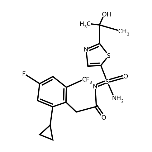 CC(C)(O)c1ncc(S(N)(=O)=NC(=O)Cc2c(C3CC3)cc(F)cc2C(F)(F)F)s1